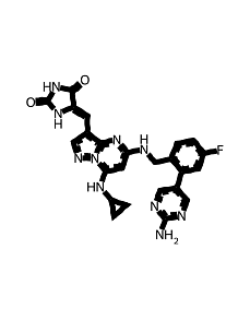 Nc1ncc(-c2cc(F)ccc2CNc2cc(NC3CC3)n3ncc(C=C4NC(=O)NC4=O)c3n2)cn1